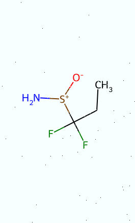 CCC(F)(F)[S+](N)[O-]